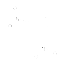 O=[N+]([O-])C1[CH]CCC([N+](=O)[O-])C1